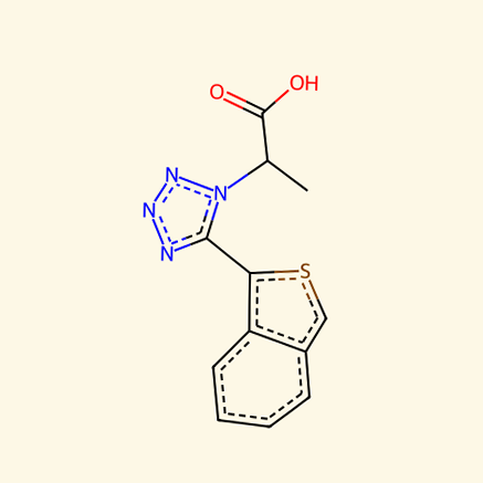 CC(C(=O)O)n1nnnc1-c1scc2ccccc12